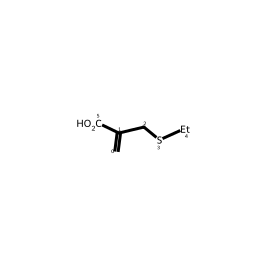 C=C(CSCC)C(=O)O